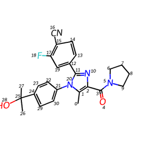 Cc1c(C(=O)N2CCCC2)nc(-c2ccc(C#N)c(F)c2)n1-c1ccc(C(C)(C)O)cc1